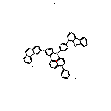 c1ccc(-c2ccc(N(c3ccc(-c4cccc5c4oc4ccccc45)cc3)c3ccc(-c4ccc5ccc6ccccc6c5c4)cc3-c3ccccc3)cc2)cc1